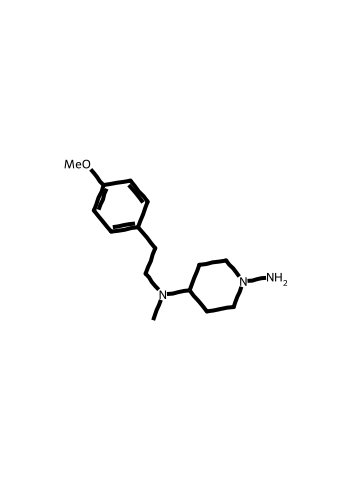 COc1ccc(CCN(C)C2CCN(N)CC2)cc1